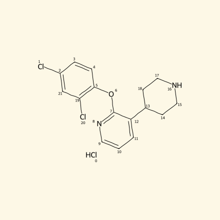 Cl.Clc1ccc(Oc2ncccc2C2CCNCC2)c(Cl)c1